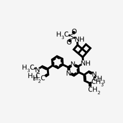 C=C/C(=C\N(C)C)c1cccc(-c2ncc(C(/C=N\C)=C/C(=C)C)c(NC3C4CCC45C(NS(C)(=O)=O)CC35)n2)c1